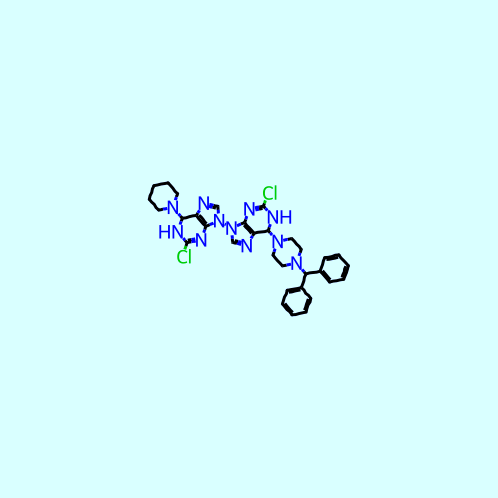 ClC1=Nc2c(ncn2-n2cnc3c2N=C(Cl)NC3N2CCN(C(c3ccccc3)c3ccccc3)CC2)C(N2CCCCC2)N1